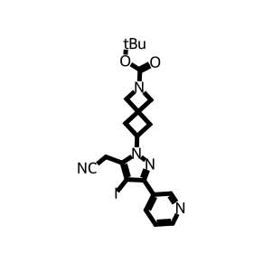 CC(C)(C)OC(=O)N1CC2(CC(n3nc(-c4cccnc4)c(I)c3CC#N)C2)C1